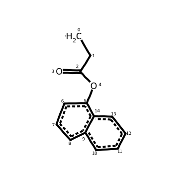 [CH2]CC(=O)Oc1cccc2ccccc12